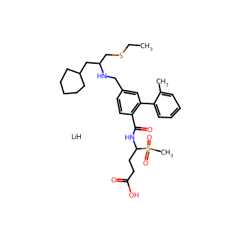 CCSCC(CC1CCCCC1)NCc1ccc(C(=O)NC(CCC(=O)O)S(C)(=O)=O)c(-c2ccccc2C)c1.[LiH]